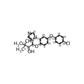 CC(C)(C)C(O)C(Oc1ccc(Oc2ccc(Cl)cc2)cc1)n1cncn1